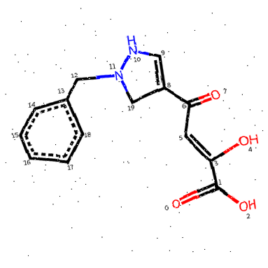 O=C(O)C(O)=CC(=O)C1=CNN(Cc2ccccc2)C1